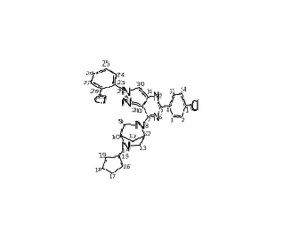 Clc1ccc(-c2nc(N3CC4CC3CN4C3CCCC3)c3nn(-c4ccccc4Cl)cc3n2)cc1